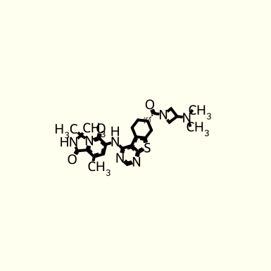 Cc1cc(Nc2ncnc3sc4c(c23)CC[C@H](C(=O)N2CC(N(C)C)C2)C4)c(=O)n2c1C(=O)NC2(C)C